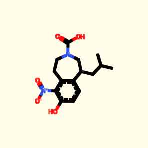 CC(C)CC1CN(C(=O)O)CCc2c1ccc(O)c2[N+](=O)[O-]